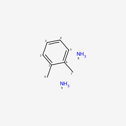 Cc1ccccc1C.N.N